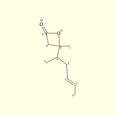 CC=CCC(C)C1(C)CC(=O)O1